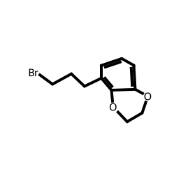 BrCCCc1cccc2c1OCCO2